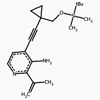 C=C(C)c1nccc(C#CC2(CO[Si](C)(C)C(C)(C)C)CC2)c1N